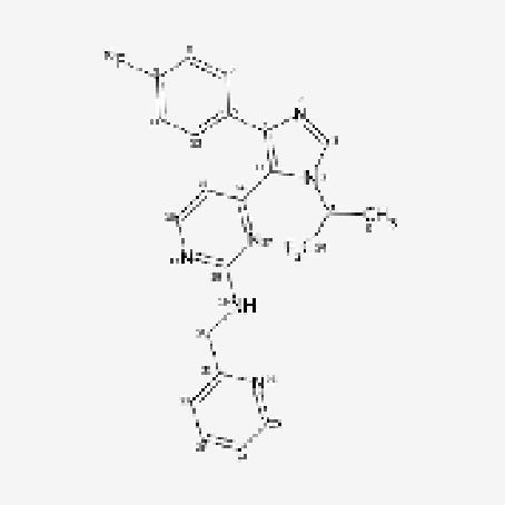 CC(n1cnc(-c2ccc(F)cc2)c1-c1ccnc(NCc2ccccn2)n1)C(F)(F)F